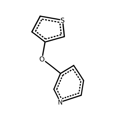 c1cncc(Oc2ccsc2)c1